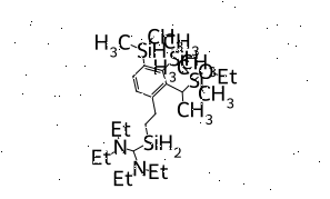 CCO[Si](C)(C)C(C)c1c(CC[SiH2]C(N(CC)CC)N(CC)CC)ccc([SiH](C)C)c1[SiH](C)C